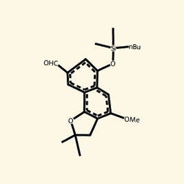 CCCC[Si](C)(C)Oc1cc(C=O)cc2c3c(c(OC)cc12)CC(C)(C)O3